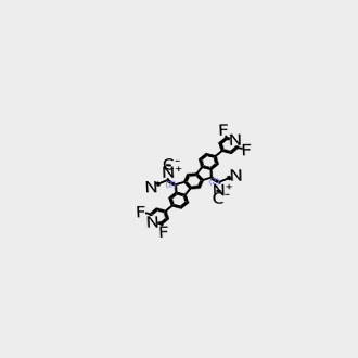 [C-]#[N+]/C(C#N)=C1/c2cc(-c3cc(F)nc(F)c3)ccc2-c2cc3c(cc21)-c1ccc(-c2cc(F)nc(F)c2)cc1/C3=C(\C#N)[N+]#[C-]